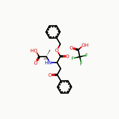 C[C@H](NC(CC(=O)c1ccccc1)C(=O)OCc1ccccc1)C(=O)O.O=C(O)C(F)(F)F